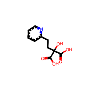 O=C(O)C(O)(CCc1ccccn1)C(=O)O